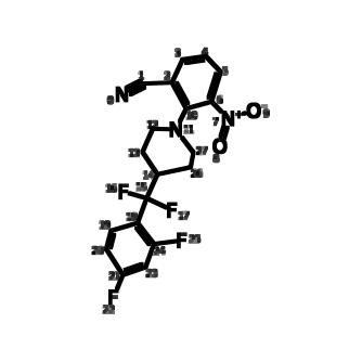 N#Cc1cccc([N+](=O)[O-])c1N1CCC(C(F)(F)c2ccc(F)cc2F)CC1